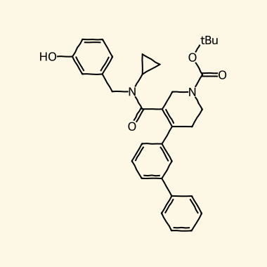 CC(C)(C)OC(=O)N1CCC(c2cccc(-c3ccccc3)c2)=C(C(=O)N(Cc2cccc(O)c2)C2CC2)C1